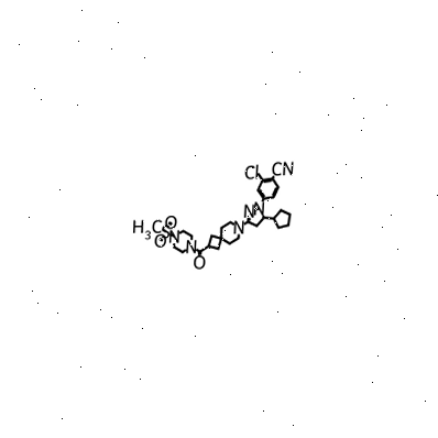 CS(=O)(=O)N1CCN(C(=O)C2CC3(CCN(C4=NN(c5ccc(C#N)c(Cl)c5)C(C5CCCC5)C4)CC3)C2)CC1